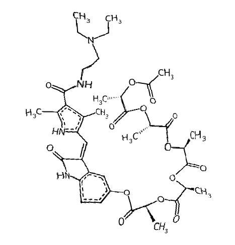 CCN(CC)CCNC(=O)c1c(C)[nH]c(/C=C2\C(=O)Nc3ccc(OC(=O)[C@H](C)OC(=O)[C@H](C)OC(=O)[C@H](C)OC(=O)[C@H](C)OC(=O)[C@H](C)OC(C)=O)cc32)c1C